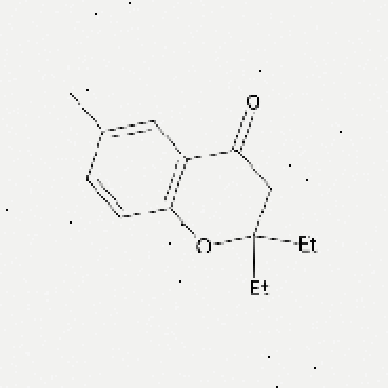 CCC1(CC)CC(=O)c2cc(C)ccc2O1